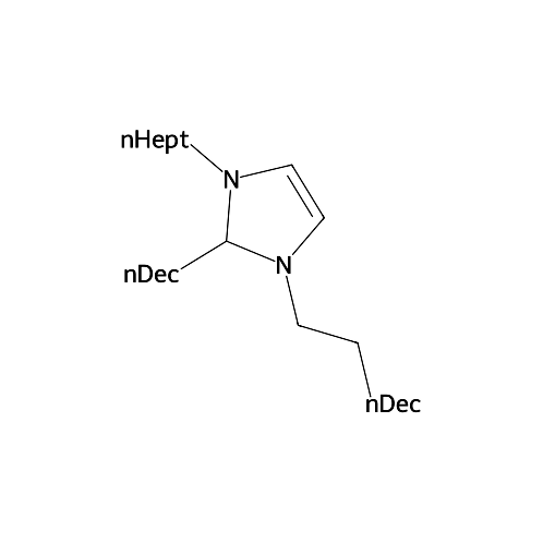 CCCCCCCCCCCCN1C=CN(CCCCCCC)C1CCCCCCCCCC